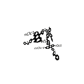 CC#Cc1ccc2c(c1)C(c1ccc(Oc3ccc4cc(-c5c6ccc(CCCCCCCC)cc6c(-c6ccc(-c7ccc(-c8ccccc8)s7)cc6)c6ccc(CCCCCCCC)cc56)ccc4c3)cc1)(c1ccc(Oc3ccc4cc(-c5c6ccc(CCCCCCCC)cc6c(-c6ccc(-c7ccc(-c8ccccc8)s7)cc6)c6ccc(CCCCCCCC)cc56)ccc4c3)cc1)c1cc(C)ccc1-2